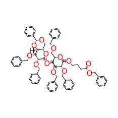 O=C(CCCO[C@@H]1OC(COCc2ccccc2)[C@@H](O[C@@H]2OC3COC(c4ccccc4)O[C@@H]3[C@@H](OCc3ccccc3)C2OCc2ccccc2)[C@@H](OCc2ccccc2)C1OCc1ccccc1)OCc1ccccc1